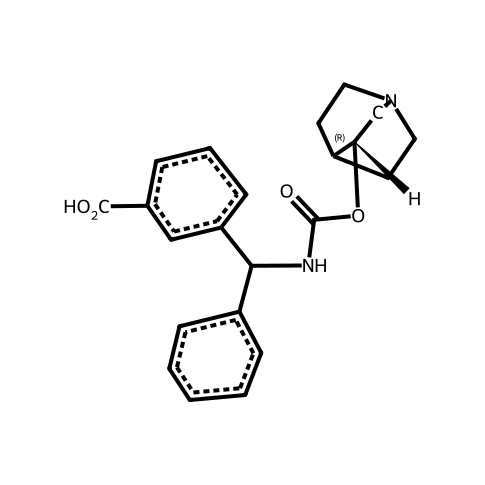 O=C(NC(c1ccccc1)c1cccc(C(=O)O)c1)O[C@H]1CN2CCC1CC2